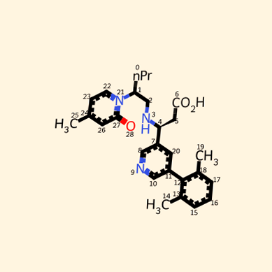 CCCC(CN[C@@H](CC(=O)O)c1cncc(-c2c(C)cccc2C)c1)n1ccc(C)cc1=O